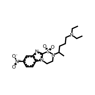 CCN(CC)CCCC(C)N1CCn2c(nc3cc([N+](=O)[O-])ccc32)S1(=O)=O